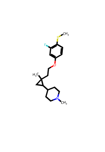 CSc1ccc(OCCC2(C)CC2C2CCN(C)CC2)cc1F